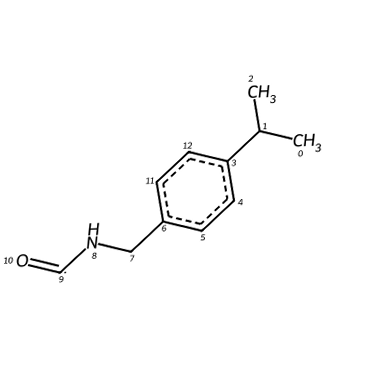 CC(C)c1ccc(CN[C]=O)cc1